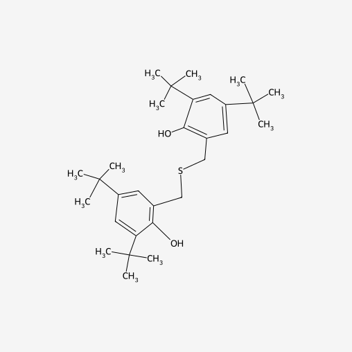 CC(C)(C)c1cc(CSCc2cc(C(C)(C)C)cc(C(C)(C)C)c2O)c(O)c(C(C)(C)C)c1